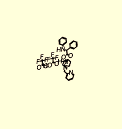 O=C(O)C(F)(F)F.O=C(O[C@H]1C[N+]2(Cc3ccccn3)CCC1CC2)C(Nc1ccccc1)c1ccccc1.O=C([O-])C(F)(F)F